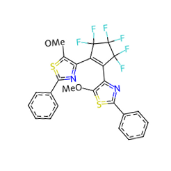 COc1sc(-c2ccccc2)nc1C1=C(c2nc(-c3ccccc3)sc2OC)C(F)(F)C(F)(F)C1(F)F